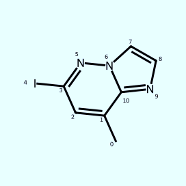 Cc1cc(I)nn2ccnc12